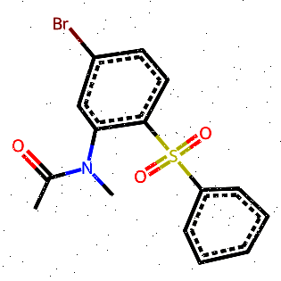 CC(=O)N(C)c1cc(Br)ccc1S(=O)(=O)c1ccccc1